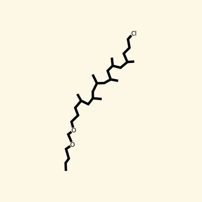 CCCCOCOCCCC(C)CC(C)CC(C)CC(C)CC(C)CC(C)CCCCl